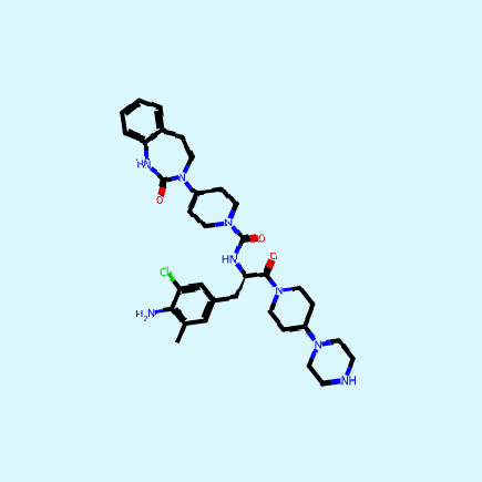 Cc1cc(C[C@@H](NC(=O)N2CCC(N3CCc4ccccc4NC3=O)CC2)C(=O)N2CCC(N3CCNCC3)CC2)cc(Cl)c1N